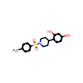 Cc1ccc(S(=O)(=O)N2CCC(c3ccc(O)cc3O)CC2)cc1